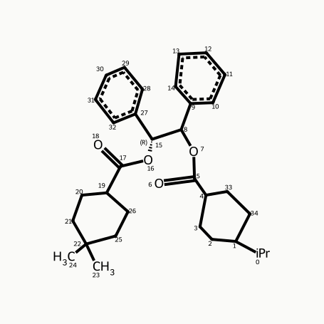 CC(C)C1CCC(C(=O)OC(c2ccccc2)[C@H](OC(=O)C2CCC(C)(C)CC2)c2ccccc2)CC1